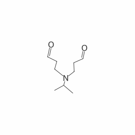 CC(C)N(CCC=O)CCC=O